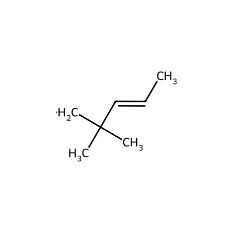 [CH2]C(C)(C)C=CC